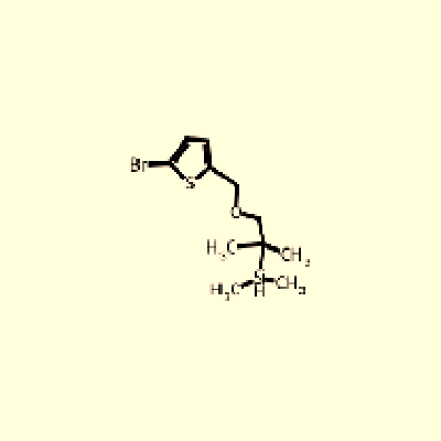 C[SiH](C)C(C)(C)COCc1ccc(Br)s1